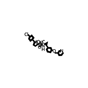 O=C(O)C1(NS(=O)(=O)C2CC=C(c3ccc(Cl)cc3)S2)CC1c1cccc(OCc2cccnc2)c1